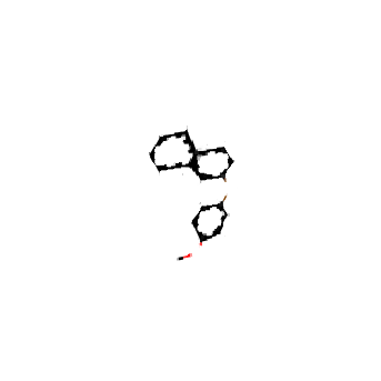 COc1ccc(Sc2ccc3ccccc3c2)cc1